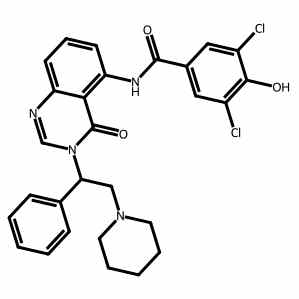 O=C(Nc1cccc2ncn(C(CN3CCCCC3)c3ccccc3)c(=O)c12)c1cc(Cl)c(O)c(Cl)c1